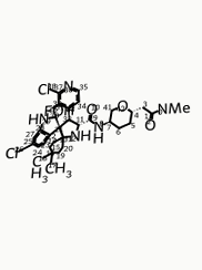 CNC(=O)C[C@@H]1CC[C@@H](NC(=O)[C@@H]2NC3(CCC(C)(C)CC3)[C@]3(c4ccc(Cl)cc4NC3O)[C@H]2c2ccnc(Cl)c2F)CO1